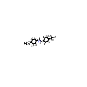 CC(C)(C)c1ccc(/C=C/c2ccc(S)cc2)cc1